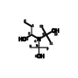 CCC(O)N(C(C)(C)O)C(C)(C)O